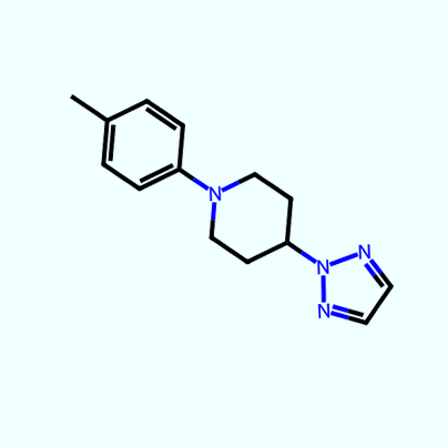 Cc1ccc(N2CCC(n3nccn3)CC2)cc1